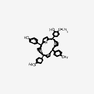 COc1ccc(-c2c3nc(c(-c4ccc(O)cc4)c4ccc([nH]4)c(-c4ccc(O)cc4)c4nc(c(-c5ccc(O)cc5)c5ccc2[nH]5)C=C4)C=C3)cc1O